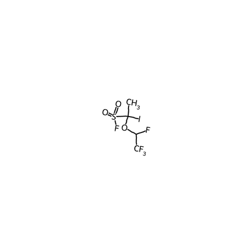 CC(I)(OC(F)C(F)(F)F)S(=O)(=O)F